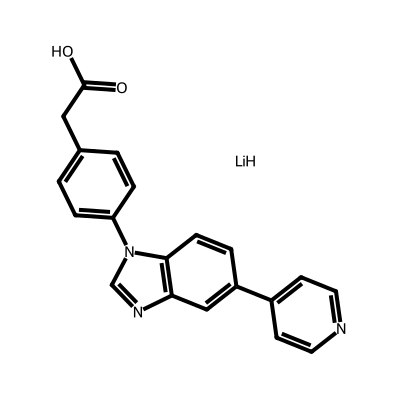 O=C(O)Cc1ccc(-n2cnc3cc(-c4ccncc4)ccc32)cc1.[LiH]